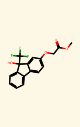 COC(=O)COc1ccc2c(c1)C(O)(C(F)(F)F)c1ccccc1-2